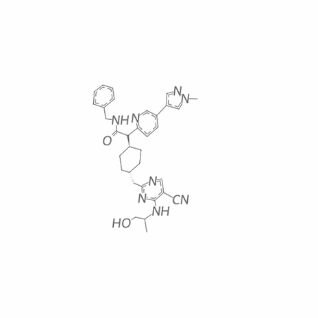 CC(CO)Nc1nc(C[C@H]2CC[C@H](C(C(=O)NCc3ccccc3)c3ccc(-c4cnn(C)c4)cn3)CC2)ncc1C#N